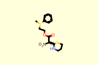 C[S+](CCOC(=O)/C(=C1/NCCCS1)[N+](=O)[O-])c1ccccc1